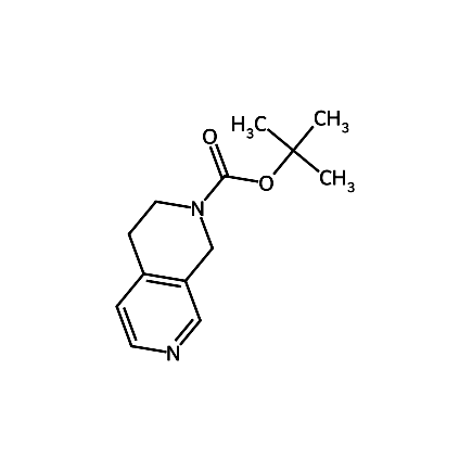 CC(C)(C)OC(=O)N1CCc2ccncc2C1